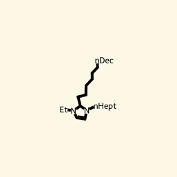 CCCCCCCCCCCCCCCCC1N(CC)C=CN1CCCCCCC